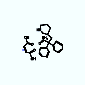 NC(=O)C(CC1CCCNC1)(c1ccccc1)c1ccccc1.O=C(O)/C=C\C(=O)O